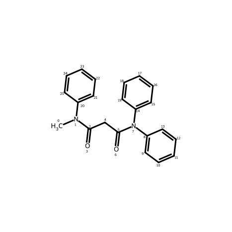 CN(C(=O)CC(=O)N(c1ccccc1)c1ccccc1)c1ccccc1